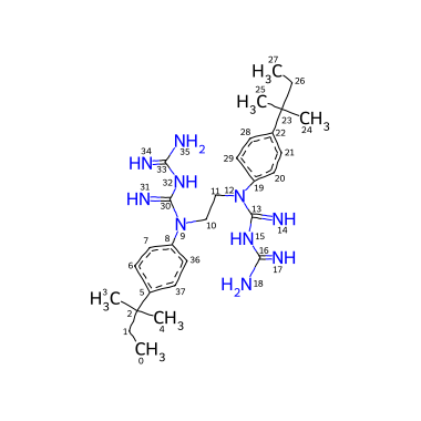 CCC(C)(C)c1ccc(N(CCN(C(=N)NC(=N)N)c2ccc(C(C)(C)CC)cc2)C(=N)NC(=N)N)cc1